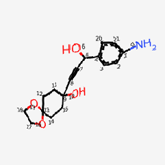 Nc1ccc(C(O)C#CC2(O)CCC3(CC2)OCCO3)cc1